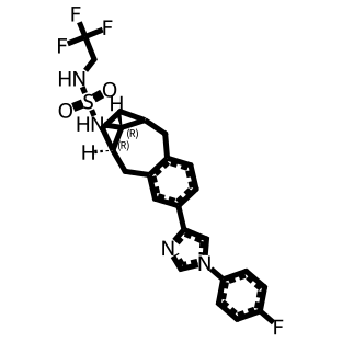 O=S(=O)(NCC(F)(F)F)N[C@@H]1C2CC[C@@H]1Cc1cc(-c3cn(-c4ccc(F)cc4)cn3)ccc1C2